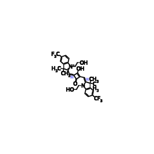 CC1(C)C(/C=C2/C(=O)C(/C=C3\N(CCO)c4ccc(C(F)(F)F)cc4C3(C)C)=C2O)=[N+](CCO)c2ccc(C(F)(F)F)cc21